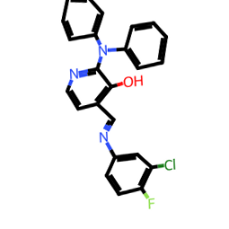 Oc1c(/C=N/c2ccc(F)c(Cl)c2)ccnc1N(c1ccccc1)c1ccccc1